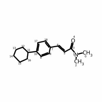 CN(C)C(=O)C=Cc1ccc(C2CCCCC2)cc1